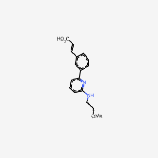 COCCNc1cccc(-c2cccc(/C=C/C(=O)O)c2)n1